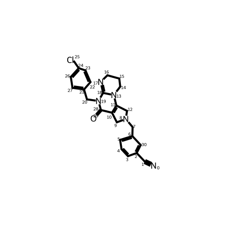 N#Cc1cccc(CN2CC3=C(C2)N2CCCN=C2N(Cc2ccc(Cl)cc2)C3=O)c1